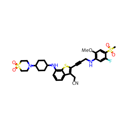 COc1cc(S(C)(=O)=O)c(F)cc1NCC#Cc1sc2c(NC3CCC(N4CCS(=O)(=O)CC4)CC3)cccc2c1CC#N